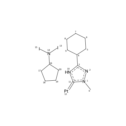 Cn1nc(C2CCCCC2)[nH][c]1=[Pt].IN(I)C1CCCC1